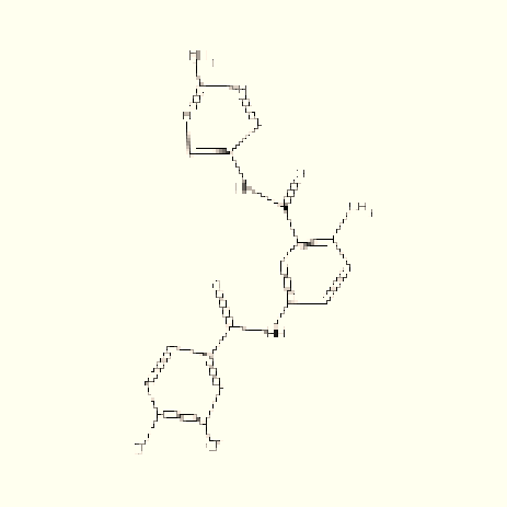 Cc1ccc(NC(=O)c2ccc(Cl)c(C(F)(F)F)c2)cc1C(=O)Nc1cnc(N)nc1